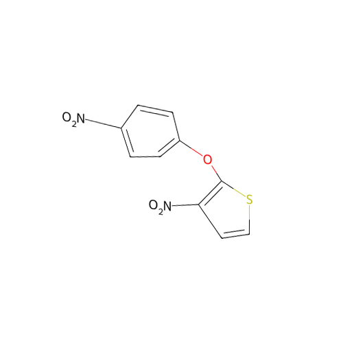 O=[N+]([O-])c1ccc(Oc2sccc2[N+](=O)[O-])cc1